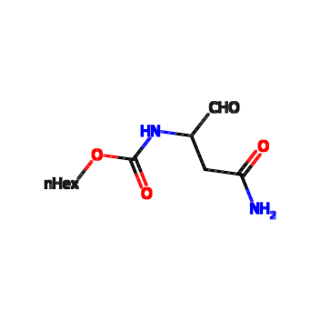 CCCCCCOC(=O)NC(C=O)CC(N)=O